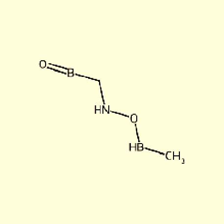 CBONCB=O